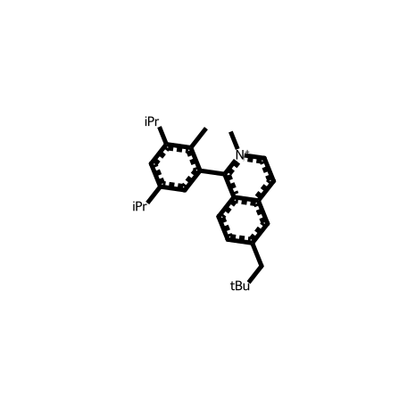 Cc1c(-c2c3ccc(CC(C)(C)C)cc3cc[n+]2C)cc(C(C)C)cc1C(C)C